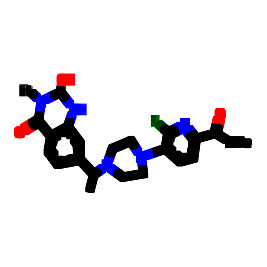 CCN1C(=O)c2ccc(C(C)N3CCN(c4ccc(C(=O)NC)nc4F)CC3)cc2NC1O